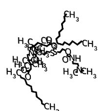 CCCCCCCCC(CC)OC(=O)CC(C)(C)C(C)(C)CN(CC(C)(C)CC(C)(C)CC(=O)OC(CCCCCCC)CCCCCCCC)C(=O)OCCSSCCOC(=O)NCCN(C)C